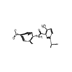 Cc1cc([N+](=O)[O-])ccc1NC(=O)c1cc(C(C)C)ccc1O